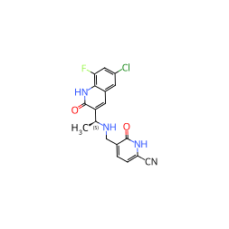 C[C@H](NCc1ccc(C#N)[nH]c1=O)c1cc2cc(Cl)cc(F)c2[nH]c1=O